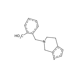 O=C(O)c1ccccc1CN1CCc2ccsc2C1